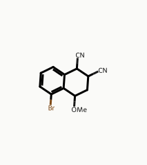 COC1CC(C#N)C(C#N)c2cccc(Br)c21